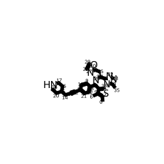 Cc1sc2c(c1C)C(c1ccc(C#CCC3CCNCC3)cc1)=N[C@@H](Cc1ncco1)c1nnc(C)n1-2